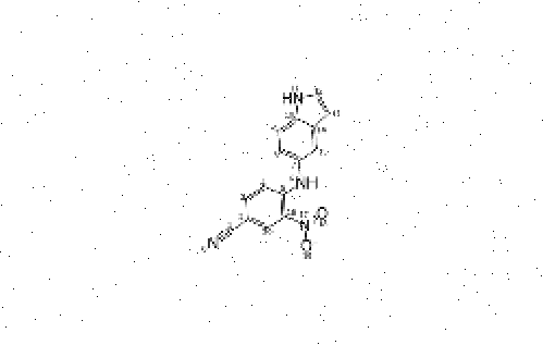 N#Cc1ccc(Nc2ccc3[nH]ccc3c2)c([N+](=O)[O-])c1